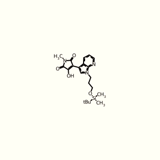 CN1C(=O)C(O)=C(c2cn(CCCO[Si](C)(C)C(C)(C)C)c3ncccc23)C1=O